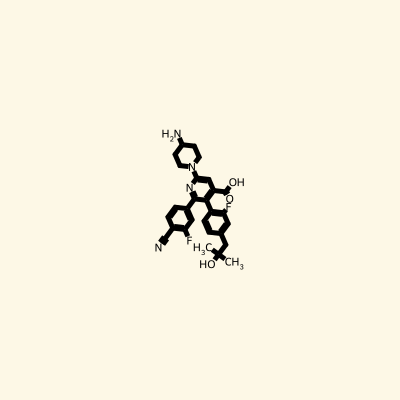 CC(C)(O)Cc1ccc(-c2c(C(=O)O)cc(N3CCC(N)CC3)nc2-c2ccc(C#N)c(F)c2)c(F)c1